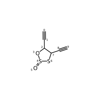 C#CC1OS(=O)SC1C#C